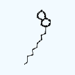 CCCCCCCCCCc1ccc2ccccc2c1